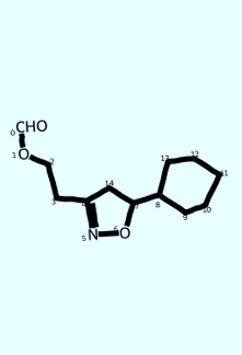 O=COCCC1=NOC(C2CCCCC2)C1